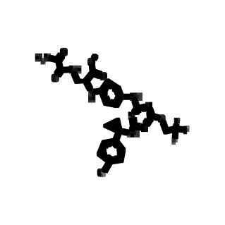 COC(=O)[C@H](CNC(=O)C(N)=O)Nc1ccc(Nc2nc(NC3(c4ccc(Cl)cc4)CC3)nc(OCC(F)(F)F)n2)cc1